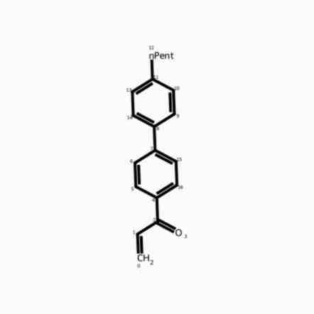 C=CC(=O)c1ccc(-c2ccc(CCCCC)cc2)cc1